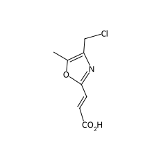 Cc1oc(C=CC(=O)O)nc1CCl